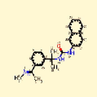 C/N=C(\C)c1cccc(C(C)(C)NC(=O)Nc2ccc3ccccc3c2)c1